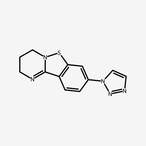 c1cn(-c2ccc3c(c2)SN2CCCN=C32)nn1